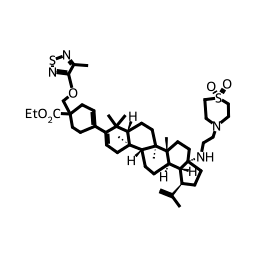 C=C(C)[C@@H]1CC[C@]2(NCCN3CCS(=O)(=O)CC3)CC[C@]3(C)[C@H](CC[C@@H]4[C@@]5(C)CC=C(C6=CCC(COc7nsnc7C)(C(=O)OCC)CC6)C(C)(C)[C@@H]5CC[C@]43C)[C@@H]12